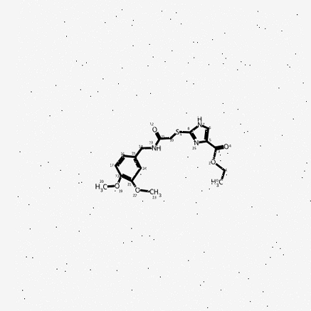 CCOC(=O)c1c[nH]c(SCC(=O)NCc2ccc(OC)c(OC)c2)n1